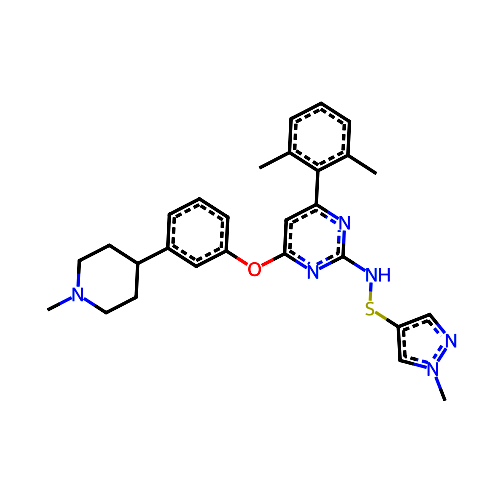 Cc1cccc(C)c1-c1cc(Oc2cccc(C3CCN(C)CC3)c2)nc(NSc2cnn(C)c2)n1